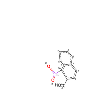 O=C(O)c1ccc2ccccc2c1I(=O)=O